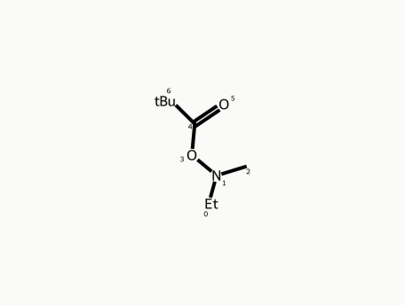 CCN(C)OC(=O)C(C)(C)C